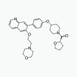 O=C([C@H]1CCCO1)N1CCC(Oc2ccc(-c3cc4ncccc4cc3OCCN3CCOCC3)cc2)CC1